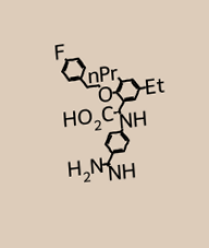 CCCc1cc(CC)cc([C@@H](Nc2ccc(C(=N)N)cc2)C(=O)O)c1OCCc1ccc(F)cc1